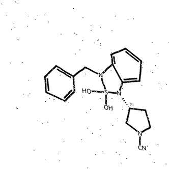 N#CN1CC[C@@H](N2c3ccccc3N(Cc3ccccc3)S2(O)O)C1